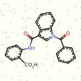 O=C(O)c1ccccc1NC(=O)c1cn(C(=O)c2ccccc2)c2ccccc12